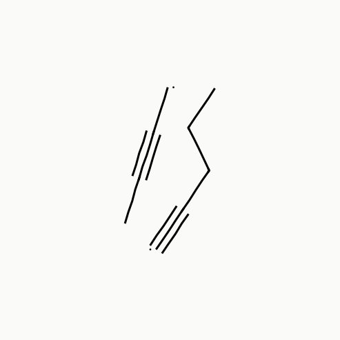 [CH2]C#CC.[C]#CCCC